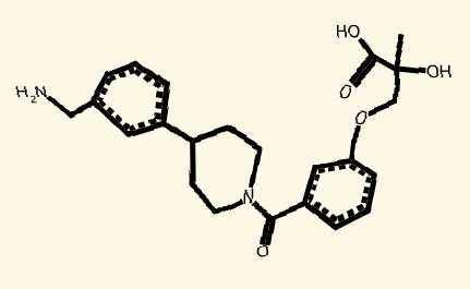 CC(O)(COc1cccc(C(=O)N2CCC(c3cccc(CN)c3)CC2)c1)C(=O)O